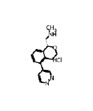 CNC[C@@H]1OCCc2c(-c3ccnnc3)cccc21.Cl